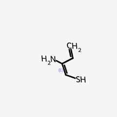 C=C/C(N)=C\S